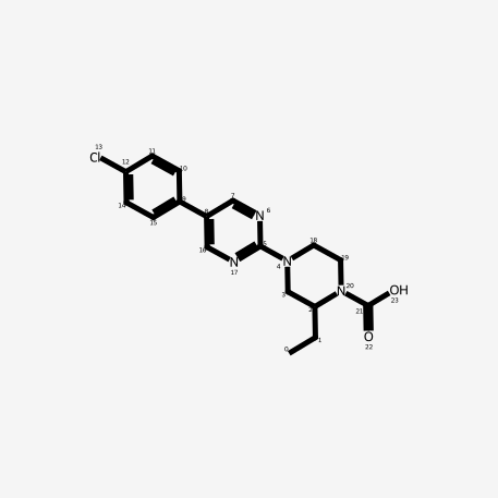 CCC1CN(c2ncc(-c3ccc(Cl)cc3)cn2)CCN1C(=O)O